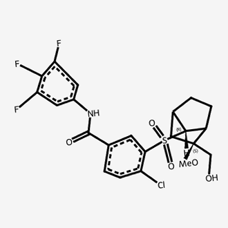 CO[C@@]1(CO)CC2CCC1[C@@H]2S(=O)(=O)c1cc(C(=O)Nc2cc(F)c(F)c(F)c2)ccc1Cl